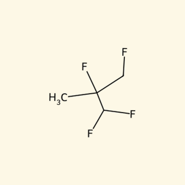 CC(F)(CF)C(F)F